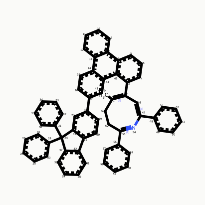 C/C1=C(c2cccc3c4ccccc4c4ccc(-c5ccc6c(c5)C(c5ccccc5)(c5ccccc5)c5ccccc5-6)cc4c23)/C=C(c2ccccc2)\N=C(\c2ccccc2)CC1